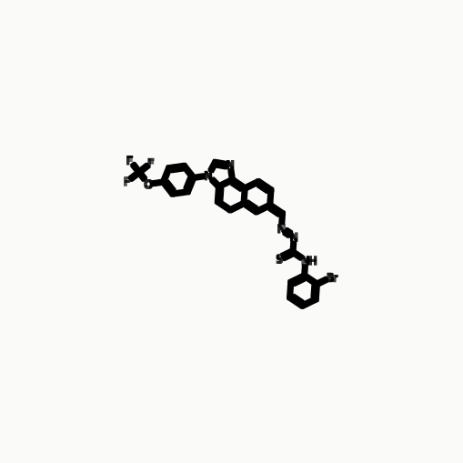 FC(F)(F)Oc1ccc(-n2cnc3c2=CCc2cc(=CN=NC(=S)Nc4ccccc4Br)ccc2=3)cc1